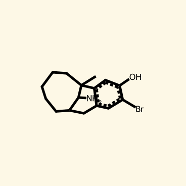 CC12CCCCCC(Cc3cc(Br)c(O)cc31)C2N